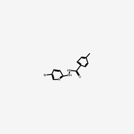 Cc1ccc(C(=O)NNc2ccc(Br)cn2)cc1